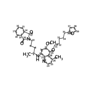 COc1cc(NC(C)CCCN2C(=O)c3ccccc3C2=O)c2nccc(C)c2c1OCCCCCc1ccco1